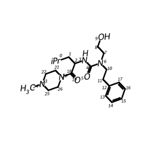 CC(C)CC(NC(=O)N(CCO)CCc1ccccc1)C(=O)N1CCN(C)CC1